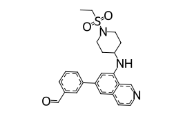 CCS(=O)(=O)N1CCC(Nc2cc(-c3cccc(C=O)c3)cc3ccncc23)CC1